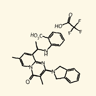 Cc1cc(C(C)Nc2ccccc2C(=O)O)c2nc(N3Cc4ccccc4C3)c(C)c(=O)n2c1.O=C(O)C(F)(F)F